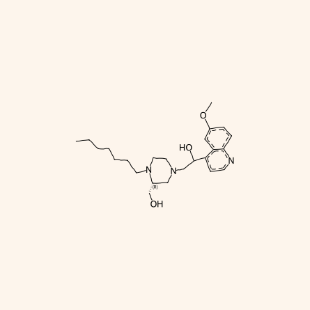 CCCCCCCN1CCN(CC(O)c2ccnc3ccc(OC)cc23)C[C@@H]1CO